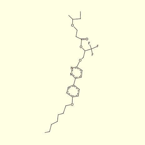 CCCCCCCOc1ccc(-c2ccc(OCC(OC(=O)CCOC(C)CC)C(F)(F)F)nn2)cc1